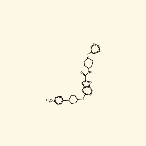 Cc1ccc(N2CCC(Oc3ccc4oc(C(=O)NC5CCN(Cc6cccnc6)CC5)cc4c3)CC2)cc1